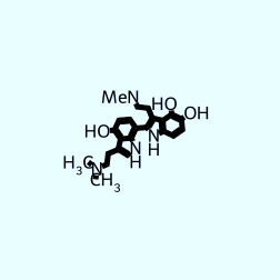 CNCCc1c(-c2ccc(O)c3c(CCN(C)C)c[nH]c23)[nH]c2ccc(O)c(O)c12